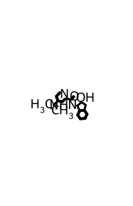 CN(C)c1ccnc(C(=O)N[C@@H]2c3ccccc3C[C@@H]2O)c1